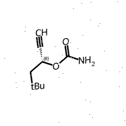 C#C[C@@H](CC(C)(C)C)OC(N)=O